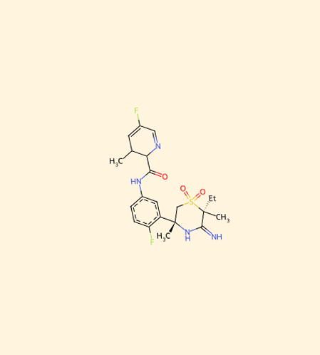 CC[C@]1(C)C(=N)N[C@](C)(c2cc(NC(=O)C3N=CC(F)=CC3C)ccc2F)CS1(=O)=O